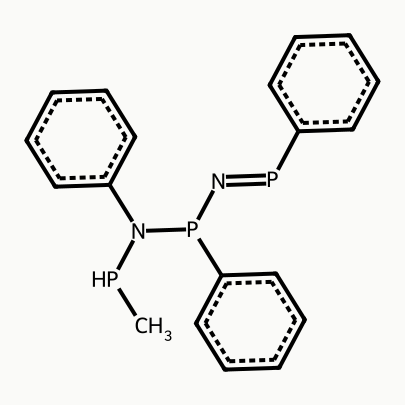 CPN(c1ccccc1)P(N=Pc1ccccc1)c1ccccc1